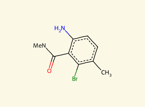 CNC(=O)c1c(N)ccc(C)c1Br